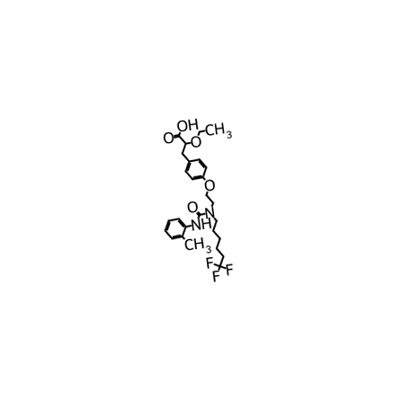 CCOC(Cc1ccc(OCCN(CCCCCC(F)(F)F)C(=O)Nc2ccccc2C)cc1)C(=O)O